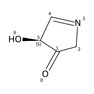 O=C1CN=C[C@@H]1O